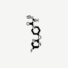 CC(C)(C)NC(=O)N1CCC(Oc2ncc(F)cn2)CC1